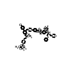 CN(CCN1CCN(C(=O)OC(C)(C)C)CC1)CC1(C)CCC(c2ccc(Cl)cc2)=C(CN2CCN(c3ccc(C(=O)NS(=O)(=O)c4ccc(N[C@H](CCN5CCOCC5)CSc5ccccc5)c(S(=O)(=O)C(F)(F)F)c4)cc3)CC2)C1